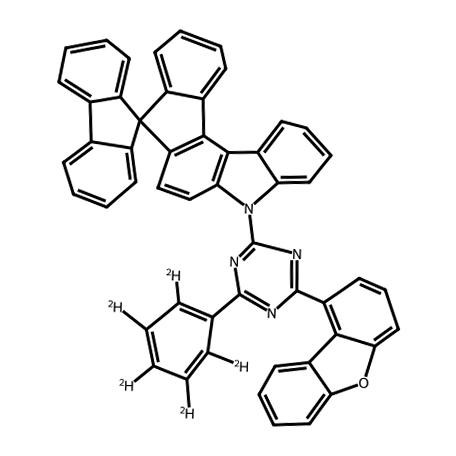 [2H]c1c([2H])c([2H])c(-c2nc(-c3cccc4oc5ccccc5c34)nc(-n3c4ccccc4c4c5c(ccc43)C3(c4ccccc4-c4ccccc43)c3ccccc3-5)n2)c([2H])c1[2H]